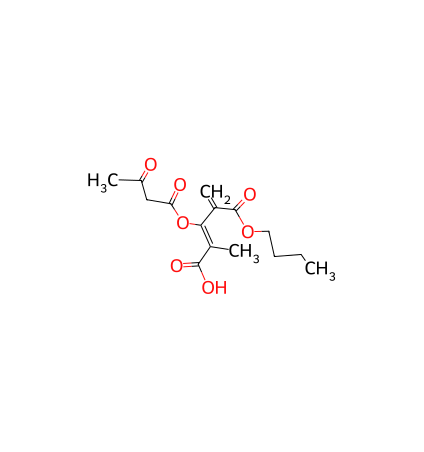 C=C(C(=O)OCCCC)C(OC(=O)CC(C)=O)=C(C)C(=O)O